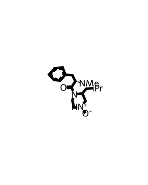 CN[C@@H](Cc1ccccc1)C(=O)N1CC[NH+]([O-])CC1CC(C)C